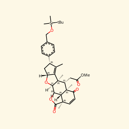 COC(=O)C[C@H]1[C@]2(C)C3=C(C)[C@@H](c4ccc(CO[Si](C)(C)C(C)(C)C)cc4)C[C@H]3O[C@@H]2[C@@H]2OC(=O)[C@]3(C)C=CC(=O)[C@@]1(C)[C@@H]23